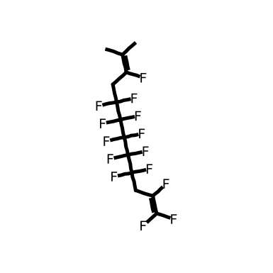 CC(C)=C(F)CC(F)(F)C(F)(F)C(F)(F)C(F)(F)C(F)(F)CC(F)=C(F)F